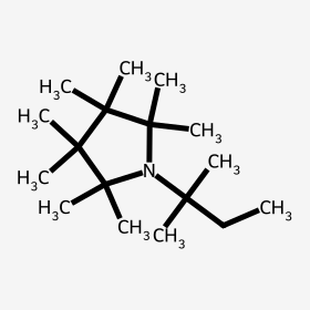 CCC(C)(C)N1C(C)(C)C(C)(C)C(C)(C)C1(C)C